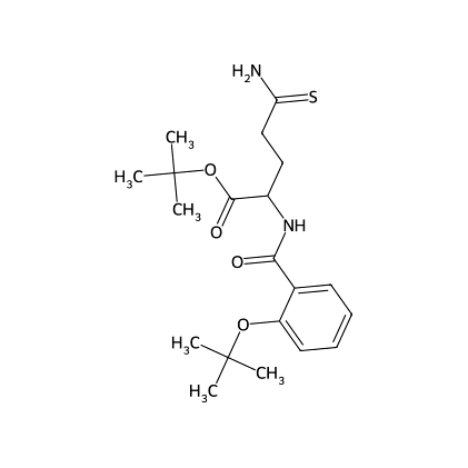 CC(C)(C)OC(=O)C(CCC(N)=S)NC(=O)c1ccccc1OC(C)(C)C